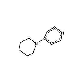 c1cc([N+]2CCCCC2)ccn1